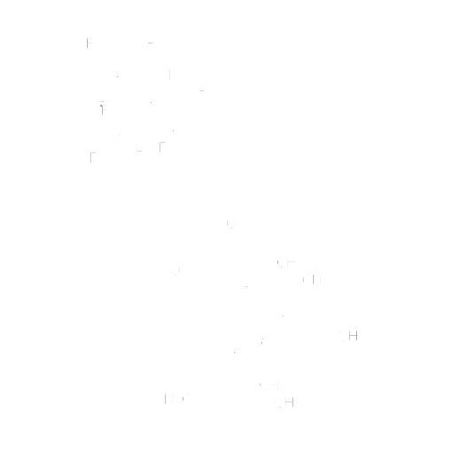 CCC(C)(CC)CC(C)(C(=O)OCCC(F)(F)C(F)(C(F)(F)F)C(F)(F)F)C(C)(CC)CC